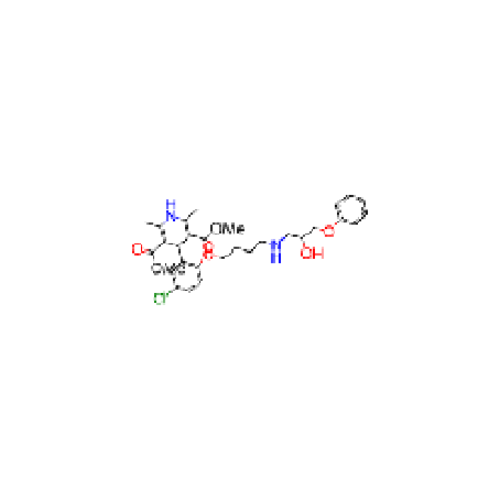 COC(=O)C1=C(C)NC(C)=C(C(=O)OC)C1c1cc(Cl)ccc1OCCCCNCC(O)COc1ccccc1